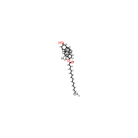 CCCCCCCCCCCCCCCC(=O)OC1CC[C@H]2[C@@H]3CC=C4CC(O)CC[C@]4(C)[C@H]3CC[C@]12C